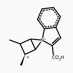 CC1C2C([C@H]1C)[N+]21C(C(=O)O)=Cc2ccccc21